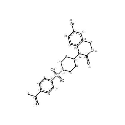 CC(=O)c1ccc(S(=O)(=O)N2CCC(N3C(=O)OCc4cc(Br)ccc43)CC2)cc1